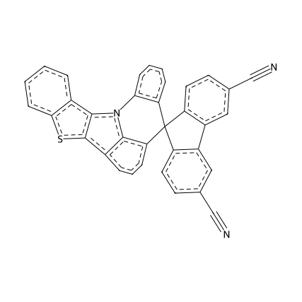 N#Cc1ccc2c(c1)-c1cc(C#N)ccc1C21c2ccccc2-n2c3c1cccc3c1sc3ccccc3c12